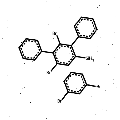 Brc1cccc(Br)c1.[SiH3]c1cc(Br)c(-c2ccccc2)c(Br)c1-c1ccccc1